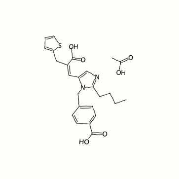 CC(=O)O.CCCCc1ncc(C=C(Cc2cccs2)C(=O)O)n1Cc1ccc(C(=O)O)cc1